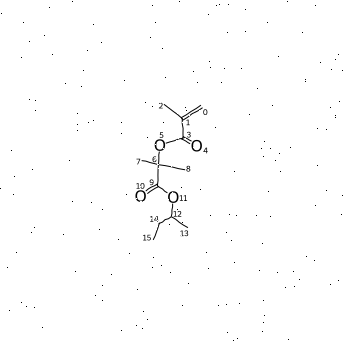 C=C(C)C(=O)OC(C)(C)C(=O)OC(C)CC